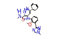 CNC(=O)c1nnc(-c2ccccc2)cc1Nc1cccc(-c2ncn(C)n2)c1OC